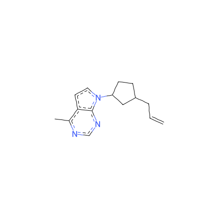 C=CCC1CCC(n2ccc3c(C)ncnc32)C1